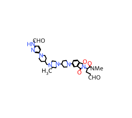 CNC(=O)C(CCC=O)N1C(=O)c2ccc(N3CCC(N4CCN(CC5CCN(c6ccc(NC=O)nc6)CC5)C(C)C4)CC3)cc2C1=O